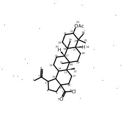 C=C(C)C1CCC2(C(=O)Cl)CC[C@]3(C)C(CC[C@@H]4C5(C)CCC(OC(C)=O)C(C)(C)[C@@H]5CCC43C)C12